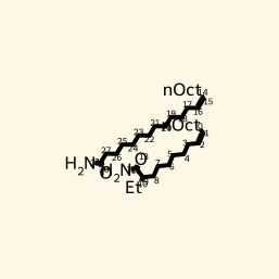 CCCCCCCC/C=C\CCCCCCC(CC)C(N)=O.CCCCCCCC/C=C\CCCCCCCCCCCC(N)=O